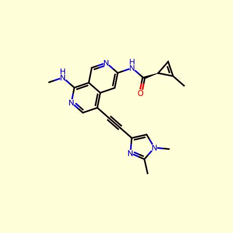 CNc1ncc(C#Cc2cn(C)c(C)n2)c2cc(NC(=O)[C@H]3C=C3C)ncc12